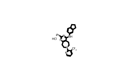 CC(C)c1nc2c(c(Nc3ccc4c(c3)CCC4)n1)CCN(c1ncccc1C(F)(F)F)CC2.Cl